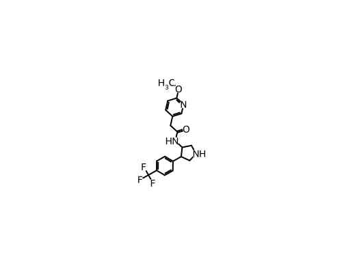 COc1ccc(CC(=O)NC2CNCC2c2ccc(C(F)(F)F)cc2)cn1